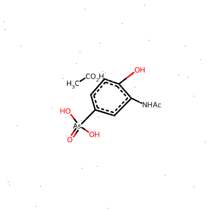 CC(=O)Nc1cc([As](=O)(O)O)ccc1O.CC(=O)O